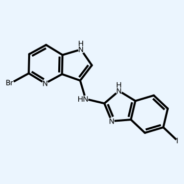 Brc1ccc2[nH]cc(Nc3nc4cc(I)ccc4[nH]3)c2n1